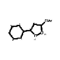 CC(=O)OC1CC(C2CCCCC2)OO1